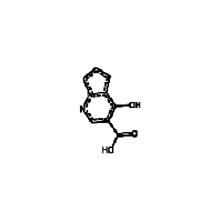 O=C(O)c1cnn2cccc2c1O